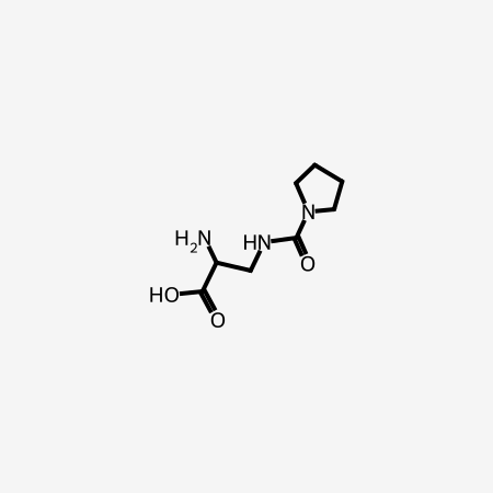 NC(CNC(=O)N1CCCC1)C(=O)O